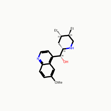 CC[C@H]1CN[C@H]([C@H](O)c2ccnc3ccc(OC)cc23)C[C@@H]1CC